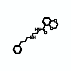 O=C(NCCNCCCc1ccccc1)c1cccc2c1OCCO2